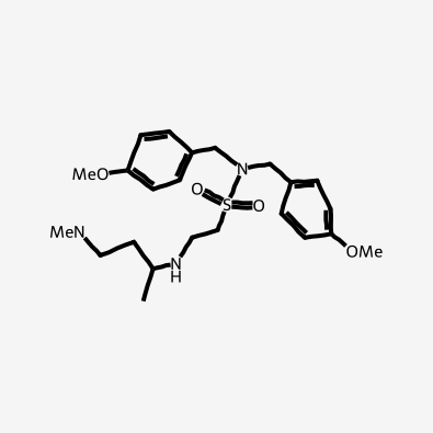 CNCCC(C)NCCS(=O)(=O)N(Cc1ccc(OC)cc1)Cc1ccc(OC)cc1